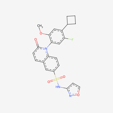 COc1cc(C2CCC2)c(F)cc1-n1c(=O)ccc2cc(S(=O)(=O)Nc3ccon3)ccc21